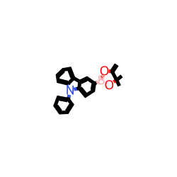 C=C1OB(c2ccc3c(c2)c2ccccc2n3-c2ccccc2)OC1(C)C